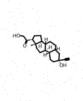 C#C[C@@]1(O)CC[C@H]2[C@H](CC[C@@H]3[C@@H]2CC[C@]2(C)[C@@H](C(=O)CO)CC[C@@H]32)C1